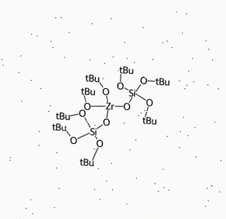 CC(C)(C)O[Si](OC(C)(C)C)(OC(C)(C)C)[O][Zr]([O]C(C)(C)C)([O]C(C)(C)C)[O][Si](OC(C)(C)C)(OC(C)(C)C)OC(C)(C)C